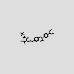 CCC(CC)c1ccc(N(Cc2ccc(CSCC(NC(=O)OC(C)(C)C)C(=O)O)cc2)C(C)C)cc1